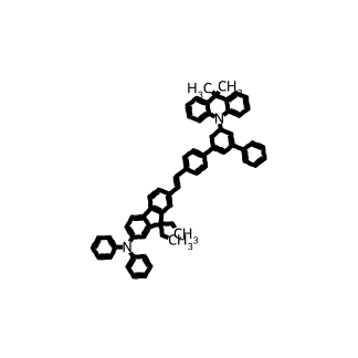 CCC1(CC)c2cc(/C=C/c3ccc(C4=CC(c5ccccc5)=CC(N5c6ccccc6C(C)(C)c6ccccc65)C4)cc3)ccc2-c2ccc(N(c3ccccc3)c3ccccc3)cc21